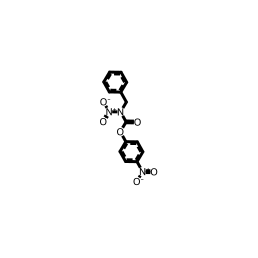 O=C(Oc1ccc([N+](=O)[O-])cc1)N(Cc1ccccc1)[N+](=O)[O-]